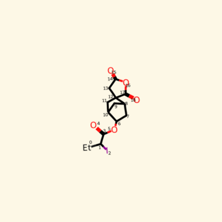 CCC(I)C(=O)OC1CC2CC1CC21CC(=O)OC1=O